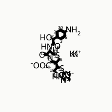 Nc1ccc(C(O)C(=O)NC2C(=O)N3C(C(=O)[O-])=C(C(CC(=O)[O-])Sc4nnn[nH]4)CS[C@@H]23)cc1.[K+].[K+]